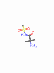 CC(C)(N)C(=O)NS(C)(=O)=O